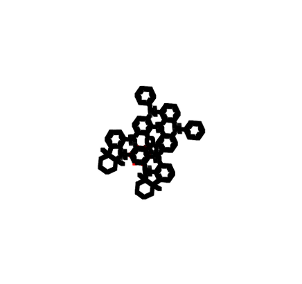 CC12CCCCC1(C)N1c3cccc4c3B(c3ccc5c(c3O4)B3c4c(cccc4N(c4ccccc4)c4ccc6c(c43)Oc3cccc4c3B6c3cccc6c3N4C3(C)CCCCC63C)N5c3ccccc3)c3cccc2c31